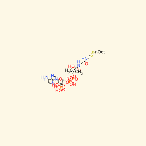 CCCCCCCCSSCCNC(=O)CCNC(=O)[C@@H](O)C(C)(C)COP(=O)(O)OP(=O)(O)OC[C@H]1O[C@@H](n2cnc3c(N)ccnc32)C(O)[C@H]1OP(=O)(O)O